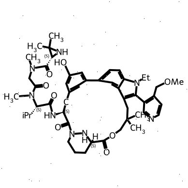 CCn1c(-c2cnccc2COC)c2c3cc(ccc31)-c1cc(O)cc(c1)C[C@H](NC(=O)[C@H](C(C)C)N(C)C(=O)CN(C)C(=O)[C@H]1NC1(C)C)C(=O)N1CCC[C@H](N1)C(=O)OCC(C)(C)C2